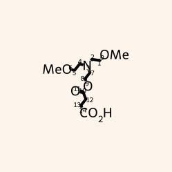 COCCN(CCOC)CCOC(=O)CCC(=O)O